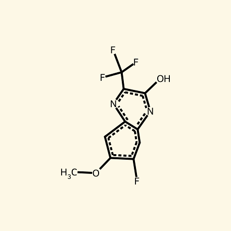 COc1cc2nc(C(F)(F)F)c(O)nc2cc1F